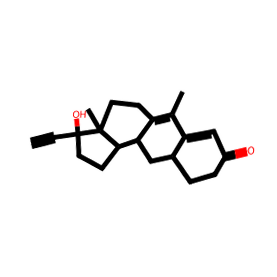 C#CC1(O)CCC2C3CC4CCC(=O)C=C4C(C)=C3CCC21C